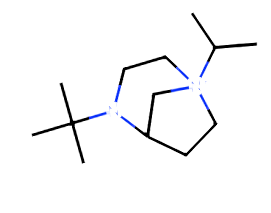 CC(C)[N+]12CCC(C1)N(C(C)(C)C)CC2